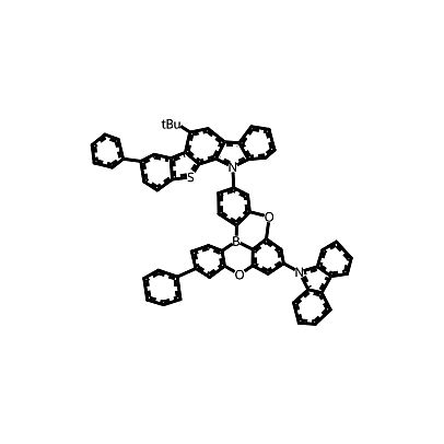 CC(C)(C)c1cc2c3ccccc3n(-c3ccc4c(c3)Oc3cc(-n5c6ccccc6c6ccccc65)cc5c3B4c3ccc(-c4ccccc4)cc3O5)c2c2sc3ccc(-c4ccccc4)cc3c12